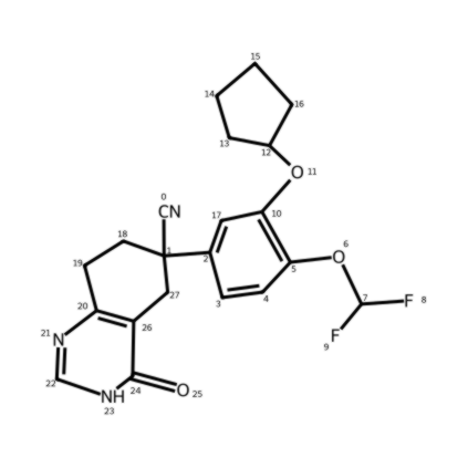 N#CC1(c2ccc(OC(F)F)c(OC3CCCC3)c2)CCc2nc[nH]c(=O)c2C1